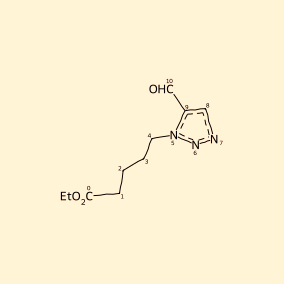 CCOC(=O)CCCCn1nncc1C=O